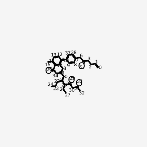 C=CCCC(=O)Cc1ccc(-c2ccc(C)c3c2CC(CC(CCC)C(CC)C(=O)CC(C)=O)CC3=O)cc1